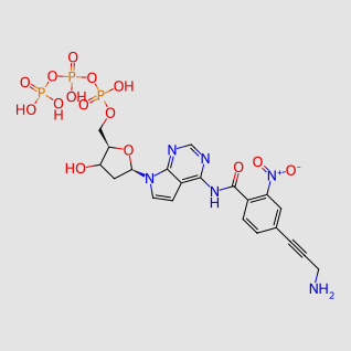 NCC#Cc1ccc(C(=O)Nc2ncnc3c2ccn3[C@H]2CC(O)[C@@H](COP(=O)(O)OP(=O)(O)OP(=O)(O)O)O2)c([N+](=O)[O-])c1